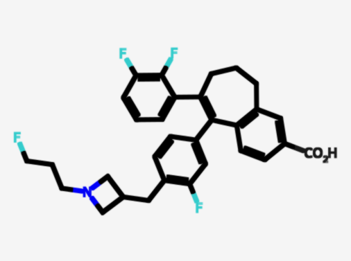 O=C(O)c1ccc2c(c1)CCCC(c1cccc(F)c1F)=C2c1ccc(CC2CN(CCCF)C2)c(F)c1